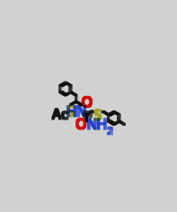 CC(=O)SCC(Cc1ccccc1)C(=O)N[C@@H](CSCc1ccc(C)cc1)C(N)=O